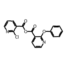 O=C(OC(=O)c1cccnc1Oc1ccccc1)c1cccnc1Cl